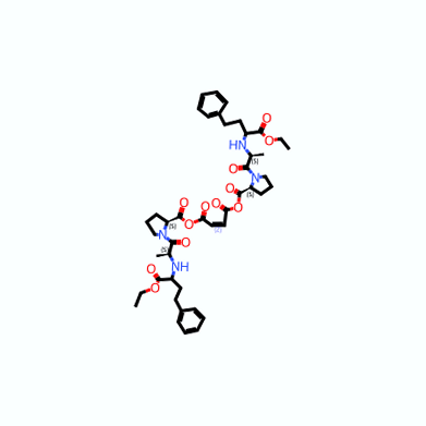 CCOC(=O)C(CCc1ccccc1)N[C@@H](C)C(=O)N1CCC[C@H]1C(=O)OC(=O)/C=C\C(=O)OC(=O)[C@@H]1CCCN1C(=O)[C@H](C)NC(CCc1ccccc1)C(=O)OCC